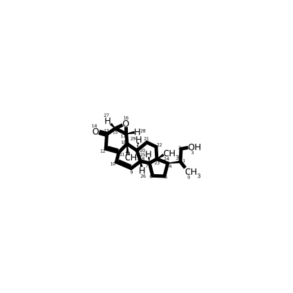 CC(CO)[C@H]1CC[C@H]2[C@@H]3C=CC4=CC(=O)[C@@H]5O[C@@H]5[C@]4(C)[C@H]3CC[C@]12C